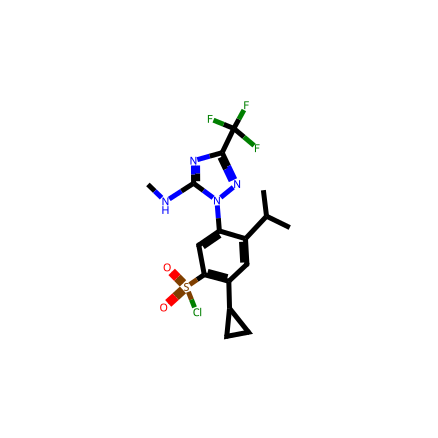 CNc1nc(C(F)(F)F)nn1-c1cc(S(=O)(=O)Cl)c(C2CC2)cc1C(C)C